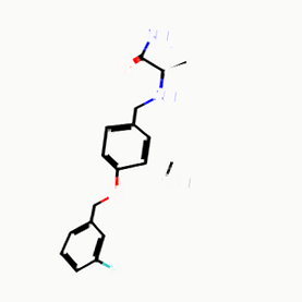 CS(=O)(=O)O.C[C@@H](NCc1ccc(OCc2cccc(F)c2)cc1)C(N)=O